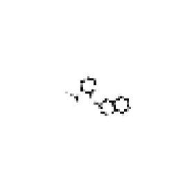 O=C(NF)c1cccnc1Nc1cnc2ccccc2c1